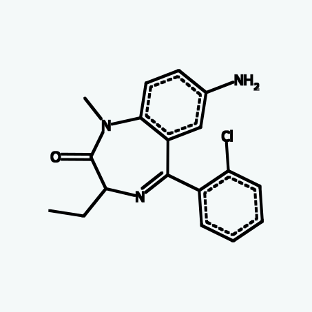 CCC1N=C(c2ccccc2Cl)c2cc(N)ccc2N(C)C1=O